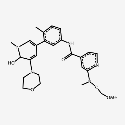 COCCN(C)c1cc(C(=O)Nc2ccc(C)c(C3=CN(C)C(O)C(N4CCOCC4)=C3)c2)ccn1